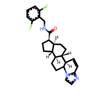 O=C(NCc1c(F)cccc1F)[C@@H]1CC[C@H]2[C@@H]3CCC4[C@H](C=Cc5nccn54)[C@H]3CC[C@@H]21